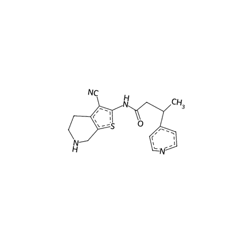 CC(CC(=O)Nc1sc2c(c1C#N)CCNC2)c1ccncc1